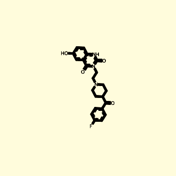 O=C(c1ccc(F)cc1)C1CCN(CCn2c(=O)[nH]c3ccc(O)cc3c2=O)CC1